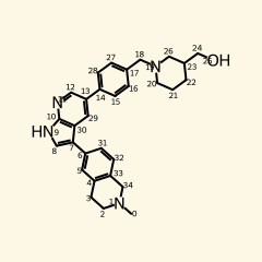 CN1CCc2cc(-c3c[nH]c4ncc(-c5ccc(CN6CCCC(CO)C6)cc5)cc34)ccc2C1